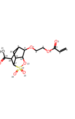 C=CC(=O)OCCOC1C2CC3C1OS(=O)(=O)C3C2C(=O)OC